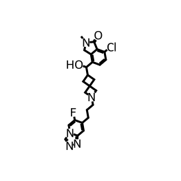 CN1Cc2c(C(O)C3CC4(C3)CN(CCCc3cc5nncn5cc3F)C4)ccc(Cl)c2C1=O